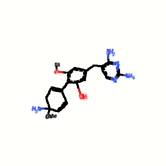 CCOc1cc(Cc2cnc(N)nc2N)cc(O)c1C1=CCC(N)(OC)C=C1